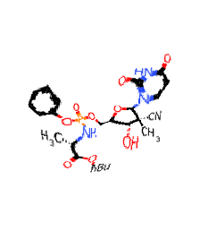 CCCCOC(=O)[C@H](C)NP(=O)(OC[C@H]1O[C@@H](n2ccc(=O)[nH]c2=O)[C@](C)(C#N)[C@@H]1O)Oc1ccccc1